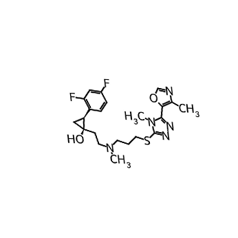 Cc1ncoc1-c1nnc(SCCCN(C)CC[C@]2(O)C[C@H]2c2ccc(F)cc2F)n1C